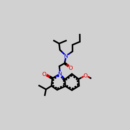 CCCCN(CC(C)C)C(=O)Cn1c(=O)c(C(C)C)cc2ccc(OC)cc21